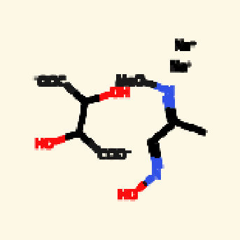 CON=C(C)C=NO.O=C([O-])C(O)C(O)C(=O)[O-].[Na+].[Na+]